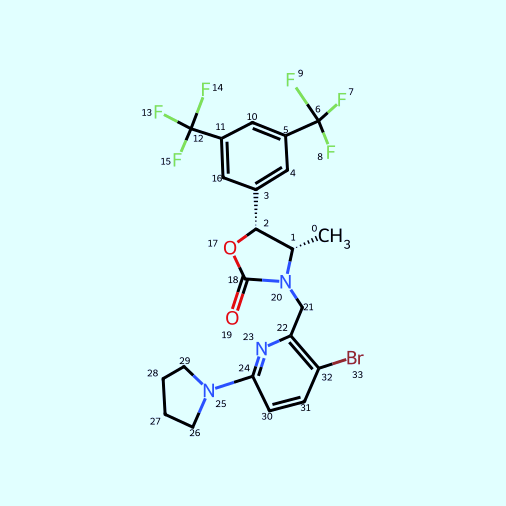 C[C@H]1[C@@H](c2cc(C(F)(F)F)cc(C(F)(F)F)c2)OC(=O)N1Cc1nc(N2CCCC2)ccc1Br